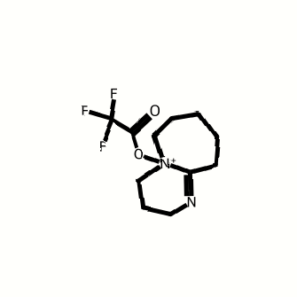 O=C(O[N+]12CCCCCC1=NCCC2)C(F)(F)F